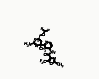 Cc1nc(C(=O)Nc2ccnc([C@]3(C)C[C@@H](COC(F)F)SC(N)=N3)c2)c(C(F)(F)F)o1